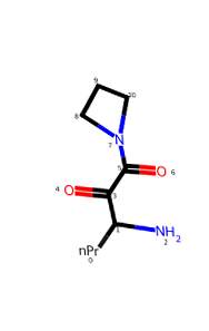 CCCC(N)C(=O)C(=O)N1CCC1